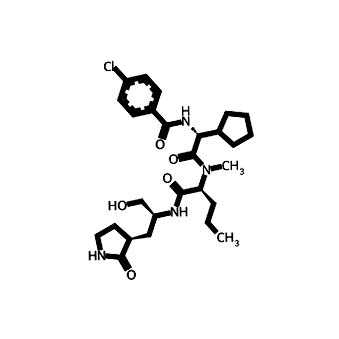 CCC[C@@H](C(=O)N[C@H](CO)C[C@@H]1CCNC1=O)N(C)C(=O)[C@H](NC(=O)c1ccc(Cl)cc1)C1CCCC1